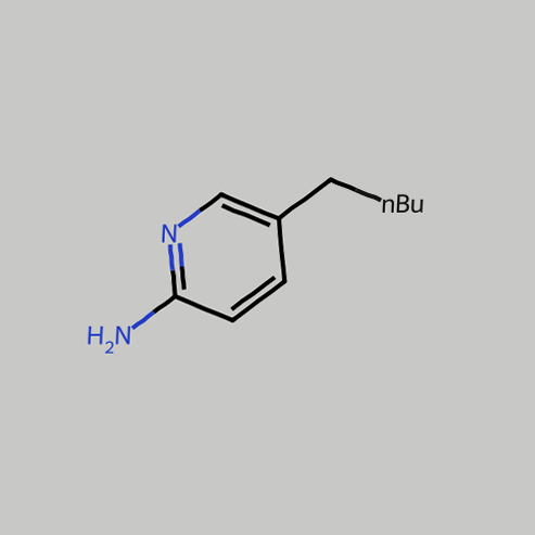 CCCCCc1ccc(N)nc1